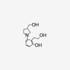 OCCc1c(O)cccc1N1CCC(CO)C1